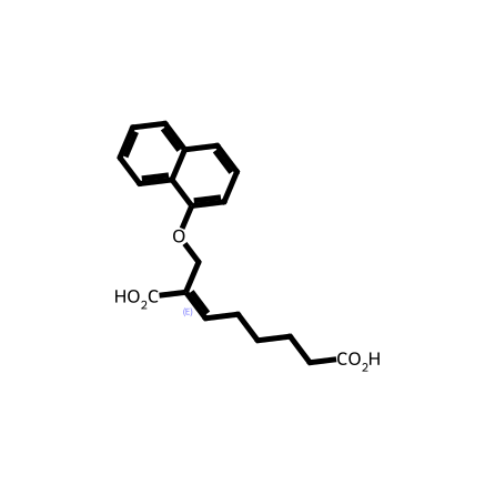 O=C(O)CCCC/C=C(\COc1cccc2ccccc12)C(=O)O